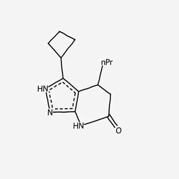 CCCC1CC(=O)Nc2n[nH]c(C3CCC3)c21